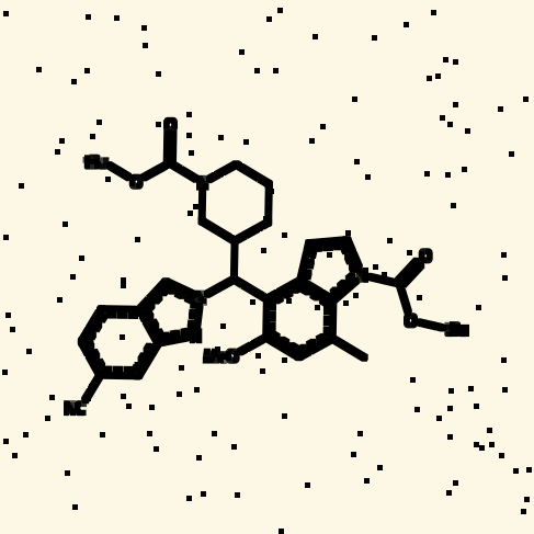 COc1cc(C)c2c(ccn2C(=O)OC(C)(C)C)c1C(C1CCCN(C(=O)OC(C)(C)C)C1)n1cc2ccc(C#N)cc2n1